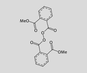 COC(=O)c1ccccc1C(=O)OOC(=O)c1ccccc1C(=O)OC